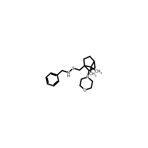 CC1(C)C2CCC1(CSNCc1ccccc1)C(N1CCOCC1)C2